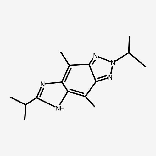 Cc1c2nn(C(C)C)nc2c(C)c2[nH]c(C(C)C)nc12